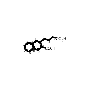 O=C(O)CCCc1cc2ccccc2cc1C(=O)O